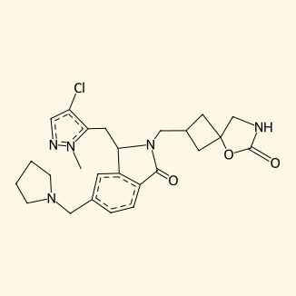 Cn1ncc(Cl)c1CC1c2cc(CN3CCCC3)ccc2C(=O)N1CC1CC2(CNC(=O)O2)C1